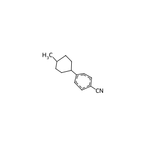 CC1CCC(c2ccc(C#N)cc2)CC1